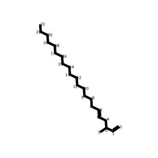 C=CC(C)CC=CCCCCCCCCCCCCCCCC